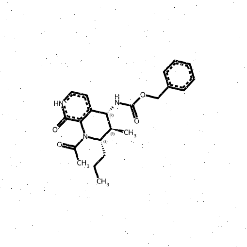 CCC[C@H]1[C@H](C)[C@@H](NC(=O)OCc2ccccc2)c2cc[nH]c(=O)c2N1C(C)=O